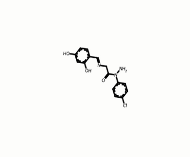 NN(C(=O)CN=Cc1ccc(O)cc1O)c1ccc(Cl)cc1